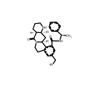 CC(C)Cc1cc2c(c(C(=O)N[C@H](C)c3ccccc3)c1)[C@@H]1C[C@@H]3NCCC[C@@H]3C(=O)N1CC2